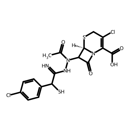 CC(=O)N(NC(=N)C(S)c1ccc(Cl)cc1)C1C(=O)N2C(C(=O)O)=C(Cl)CS[C@H]12